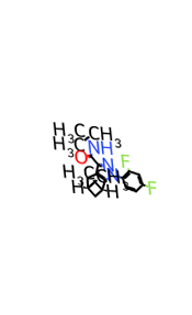 CC(C)(C)NC(=O)c1nn(-c2ccc(F)cc2F)c2c1C[C@H]1C[C@@H]2C1(C)C